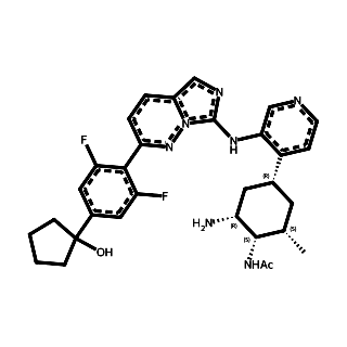 CC(=O)N[C@@H]1[C@H](N)C[C@H](c2ccncc2Nc2ncc3ccc(-c4c(F)cc(C5(O)CCCC5)cc4F)nn23)C[C@@H]1C